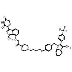 Cc1c(-c2ccc(C(F)(F)F)cc2)n(Cc2ccc(OCCCCN3CCN(C(=O)COc4cccc5c(C6CCC(=O)NC6=O)nn(C)c45)CC3)cc2)c2ccccc12